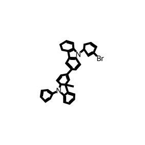 CC12C=C(c3ccc4c(c3)c3c(n4C4C=C(Br)C=CC4)C=CCC3)C=CC1N(c1ccccc1)c1ccccc12